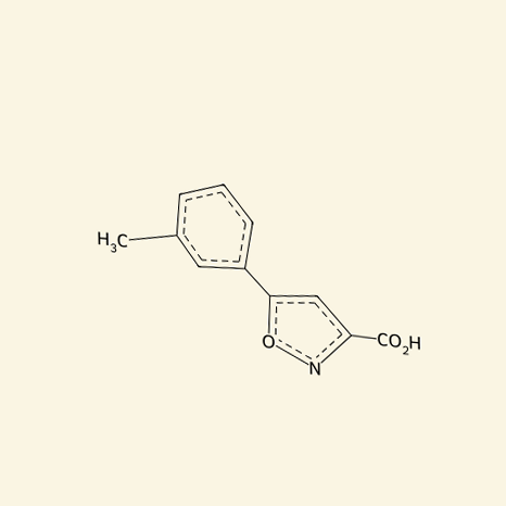 Cc1cccc(-c2cc(C(=O)O)no2)c1